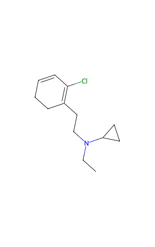 CCN(CCC1=C(Cl)C=CCC1)C1CC1